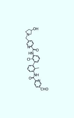 Cc1c(NC(=O)c2ccc(C=O)cn2)cccc1-c1cccc(NC(=O)c2ccc(CN3CCC(O)C3)cn2)c1Cl